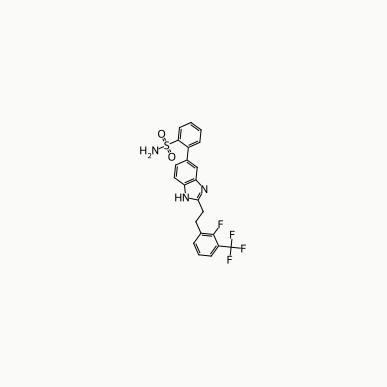 NS(=O)(=O)c1ccccc1-c1ccc2[nH]c(CCc3cccc(C(F)(F)F)c3F)nc2c1